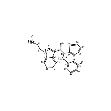 C=C(c1cn(CCNC)c2ccccc12)C(Nc1cccc(C)c1)c1ccccc1